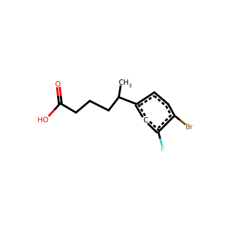 CC(CCCC(=O)O)c1ccc(Br)c(F)c1